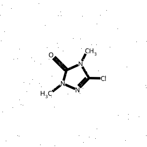 Cn1nc(Cl)n(C)c1=O